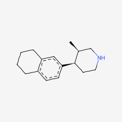 C[C@H]1CNCC[C@H]1c1ccc2c(c1)CCCC2